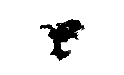 CCOCCOC(=O)n1nc(NC(=O)c2ccc(N(C)CCN(C)C)cc2N[C@@H](C)COC)c2c1CCN(S(=O)(=O)c1cc(F)cc(F)c1)C2